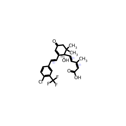 CC(=C/C(=O)O)/C=C/[C@@]1(O)C(/C=C/c2ccc(Cl)c(C(F)(F)F)c2)=CC(=O)CC1(C)C